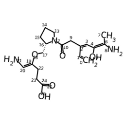 C=C/C(=C\C(O)=C(/C)N)CC(=O)N1CCC[C@H]1CO/C(=C\N)CCC(=O)O